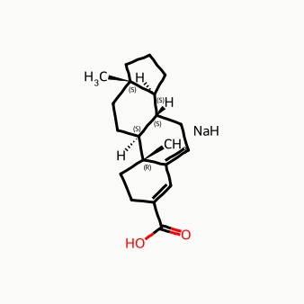 C[C@@]12CCC[C@H]1[C@@H]1CC=C3C=C(C(=O)O)CC[C@]3(C)[C@H]1CC2.[NaH]